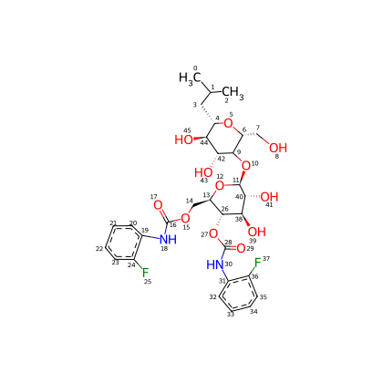 CC(C)C[C@@H]1O[C@H](CO)C(O[C@@H]2O[C@H](COC(=O)Nc3ccccc3F)[C@@H](OC(=O)Nc3ccccc3F)[C@H](O)[C@H]2O)[C@H](O)[C@H]1O